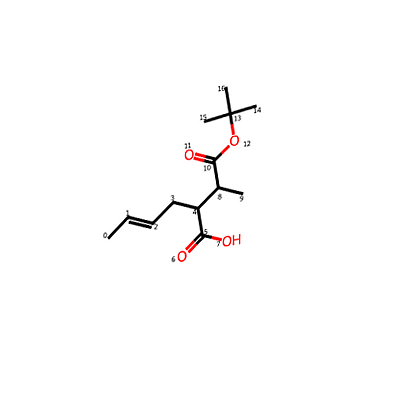 CC=CCC(C(=O)O)C(C)C(=O)OC(C)(C)C